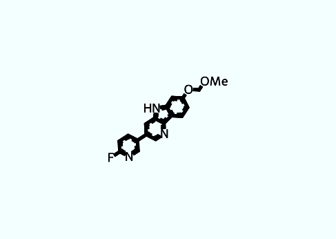 COCOc1ccc2c(c1)[nH]c1cc(-c3ccc(F)nc3)cnc12